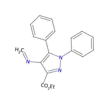 C=Nc1c(C(=O)OCC)nn(-c2ccccc2)c1-c1ccccc1